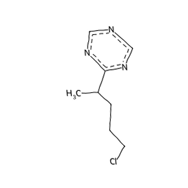 CC(CCCCl)c1ncncn1